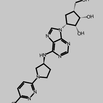 OC[C@H]1C[C@@H](n2cnc3c(N[C@H]4CCN(c5ccc(Cl)nn5)C4)ncnc32)[C@@H](O)[C@H]1O